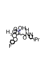 CC(C)c1ccc(NC(=O)CC[C@@H]2/C(=C/O)C(=O)[C@@]3(C)CCC4c5ccc(F)cc5CCC4C23)nc1